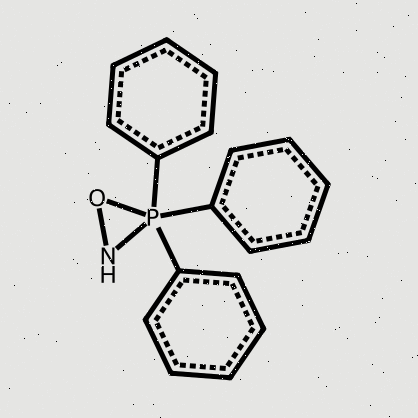 c1ccc(P2(c3ccccc3)(c3ccccc3)NO2)cc1